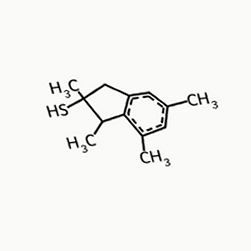 Cc1cc(C)c2c(c1)CC(C)(S)C2C